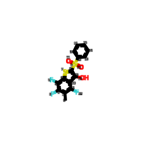 Cc1c(F)c(F)c2sc(S(=O)(=O)c3ccccc3)c(O)c2c1F